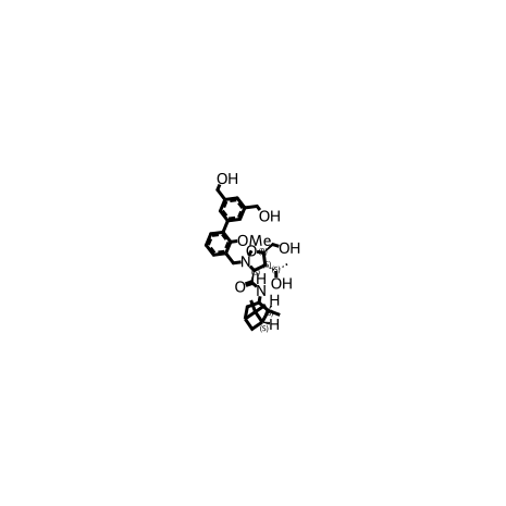 COc1c(CN2O[C@@H](CO)[C@H]([C@H](C)O)[C@H]2C(=O)NC2CC3C[C@@H]([C@@H]2C)C3(C)C)cccc1-c1cc(CO)cc(CO)c1